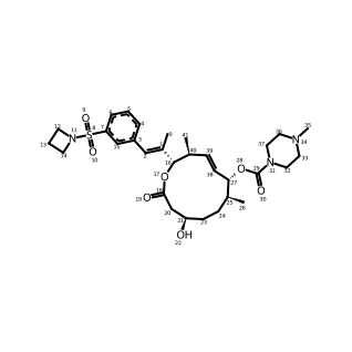 C/C(=C\c1cccc(S(=O)(=O)N2CCC2)c1)[C@H]1OC(=O)C[C@H](O)CC[C@H](C)[C@@H](OC(=O)N2CCN(C)CC2)/C=C/[C@@H]1C